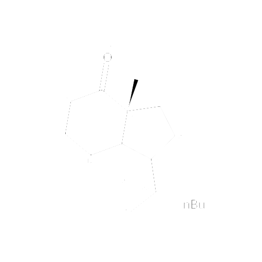 CCCC[C@H](C)C1CC[C@@]2(C)C(=O)CCC[C@]12C